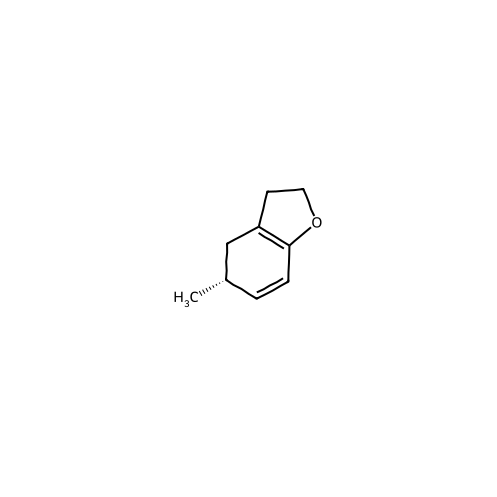 C[C@H]1C=CC2=C(CCO2)C1